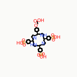 O=C(O)COc1ccc(-c2c3nc(c(-c4ccc(S(=O)(=O)O)cc4)c4ccc([nH]4)c(-c4ccc(S(=O)(=O)O)cc4)c4nc(c(-c5ccc(S(=O)(=O)O)cc5)c5ccc2[nH]5)C=C4)C=C3)cc1